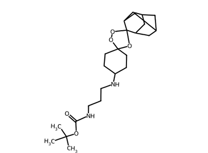 CC(C)(C)OC(=O)NCCCNC1CCC2(CC1)OOC1(O2)C2CC3CC(C2)CC1C3